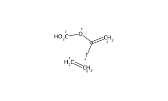 C=C.C=C(F)OC(=O)O